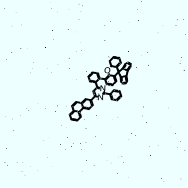 C1=CCC2Oc3c(-c4ccccc4-c4cc(-c5ccc6c(ccc7ccccc76)c5)nc(-c5ccccc5)n4)cccc3C3(C2=C1)c1ccccc1-c1ccccc13